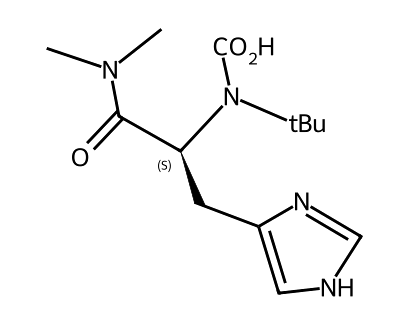 CN(C)C(=O)[C@H](Cc1c[nH]cn1)N(C(=O)O)C(C)(C)C